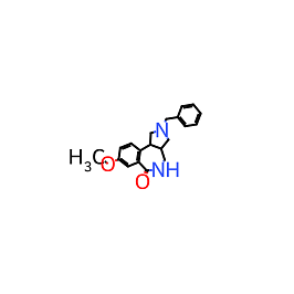 COc1ccc2c(c1)C(=O)NCC1CN(Cc3ccccc3)CC21